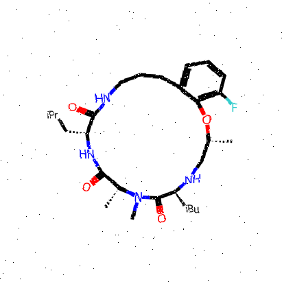 CCC(C)[C@@H]1NC[C@@H](C)Oc2c(F)cccc2CCCNC(=O)[C@@H](CC(C)C)NC(=O)[C@@H](C)N(C)C1=O